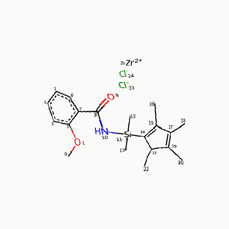 COc1ccccc1C(=O)N[Si](C)(C)C1=C(C)C(C)=C(C)C1C.[Cl-].[Cl-].[Zr+2]